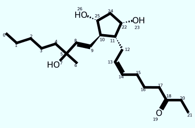 CCCCCC(C)(O)/C=C/[C@@H]1[C@@H](C/C=C\CCCC(=O)CC)[C@@H](O)C[C@H]1O